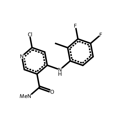 CNC(=O)c1cnc(Cl)cc1Nc1ccc(F)c(F)c1C